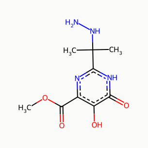 COC(=O)c1nc(C(C)(C)NN)[nH]c(=O)c1O